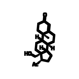 CC(=O)[C@H]1CC[C@H]2[C@@H]3CCC4=CC(=O)CC[C@]4(C)[C@H]3CC[C@]12CO